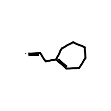 [CH]=CCC1=CCCCCC1